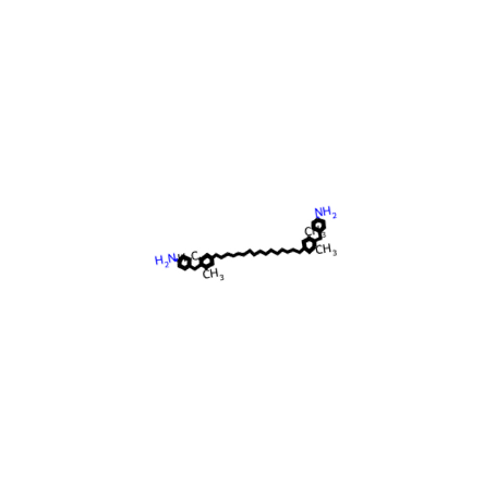 Cc1cc(CCCCCCCCCCCCCCCCc2cc(C)c(Cc3ccc(N)cc3)c(C)c2)cc(C)c1Cc1ccc(N)cc1